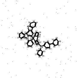 C1=Cc2c(sc3c2cc2c4c3c3ccccc3n4-c3ccccc3C23c2ccccc2-c2cc(N(c4ccccc4)c4ccc(-c5ccccc5)cc4)ccc23)CC1